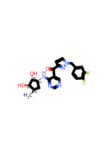 [CH2][C@@H]1C[C@@H](Nc2ncncc2C(=O)c2ccn(Cc3ccc(F)c(F)c3)n2)[C@@H](O)[C@@H]1O